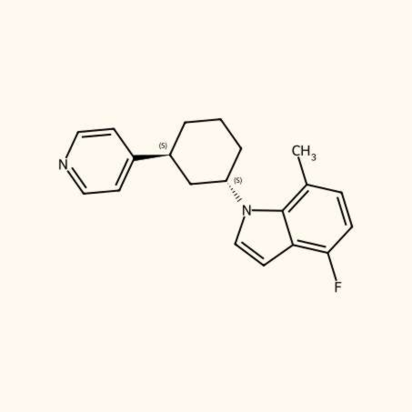 Cc1ccc(F)c2ccn([C@H]3CCC[C@H](c4ccncc4)C3)c12